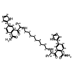 CC(C)C(NCCCCCCCCCNC(C(=O)c1cc(-c2cnc[nH]2)ccc1C(N)=O)C(C)C)C(=O)c1cc(-c2cnc[nH]2)ccc1C(N)=O